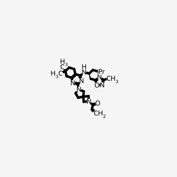 C=CC(=O)N1CC2(CCN(c3nc4c(c(N[C@H](Cc5nc(C)no5)CC(C)C)n3)CCC(C)(C)C4)C2)C1